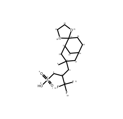 CC1(CC(CS(=O)(=O)O)C(F)(F)F)CC2CCC3(OCCO3)C(C2)C1